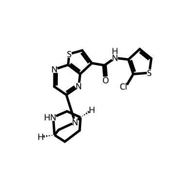 O=C(Nc1ccsc1Cl)c1csc2ncc(N3C[C@H]4CC[C@@H]3CN4)nc12